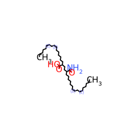 CCCCC/C=C\C/C=C\CCCCCCC(CCC(CCCCCC/C=C\C/C=C\CCCCC)C(=O)O)C(N)=O